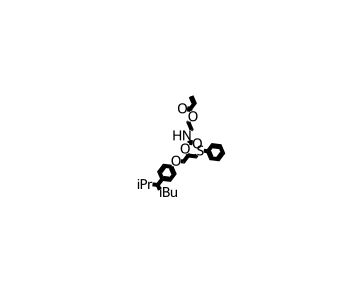 C=CC(=O)OCCNC(=O)OC(COc1ccc(C(C(C)C)C(C)CC)cc1)CSc1ccccc1